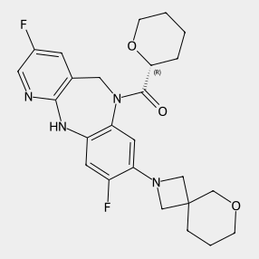 O=C([C@H]1CCCCO1)N1Cc2cc(F)cnc2Nc2cc(F)c(N3CC4(CCCOC4)C3)cc21